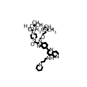 CC(C)(C)OC(=O)N1CCN(C(=O)c2nc3cc(-c4cc(NCCCN5CCCCC5)c5cnccc5n4)ccc3n2COCC[Si](C)(C)C)CC1